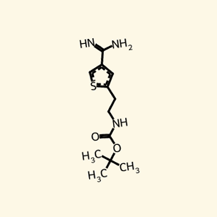 CC(C)(C)OC(=O)NCCc1cc(C(=N)N)cs1